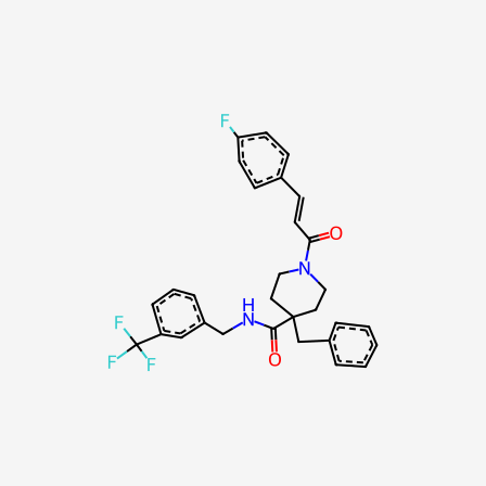 O=C(C=Cc1ccc(F)cc1)N1CCC(Cc2ccccc2)(C(=O)NCc2cccc(C(F)(F)F)c2)CC1